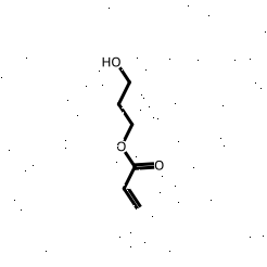 C=CC(=O)OCCCO